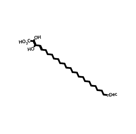 CCCCCCCCCCCCCCCCCCCCCCCCCCCCCC/C=C/C(O)=C(\O)C(=O)O